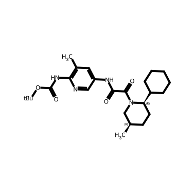 Cc1cc(NC(=O)C(=O)N2C[C@H](C)CC[C@@H]2C2CCCCC2)cnc1NC(=O)OC(C)(C)C